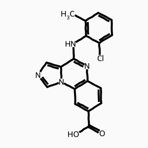 Cc1cccc(Cl)c1Nc1nc2ccc(C(=O)O)cc2n2cncc12